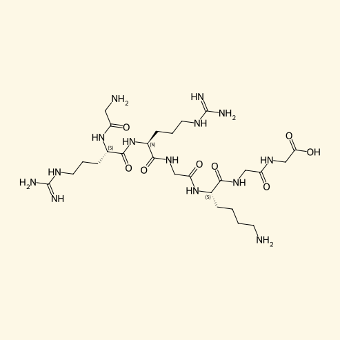 N=C(N)NCCC[C@H](NC(=O)CN)C(=O)N[C@@H](CCCNC(=N)N)C(=O)NCC(=O)N[C@@H](CCCCN)C(=O)NCC(=O)NCC(=O)O